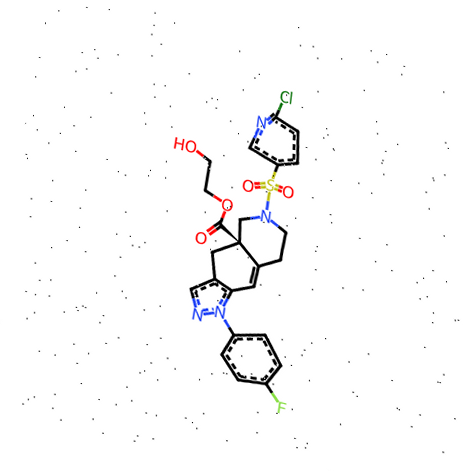 O=C(OCCO)[C@]12Cc3cnn(-c4ccc(F)cc4)c3C=C1CCN(S(=O)(=O)c1ccc(Cl)nc1)C2